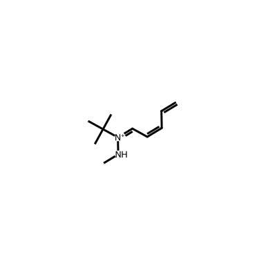 C=C/C=C\C=[N+](/NC)C(C)(C)C